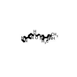 CN1C=C(c2cnn(CC(=O)Nc3ccc(-c4cnccn4)cn3)c2)N(C)N1